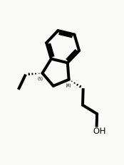 CC[C@H]1C[C@@H](CCCO)c2ccccc21